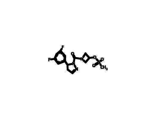 CS(=O)(=O)OC1CN(C(=O)N2N=CCC2c2cc(F)cc(F)c2)C1